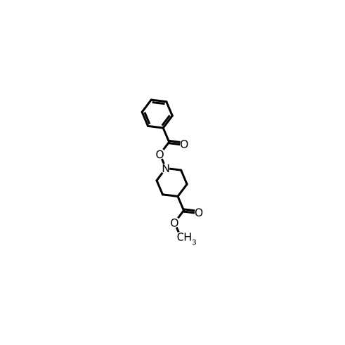 COC(=O)C1CCN(OC(=O)c2ccccc2)CC1